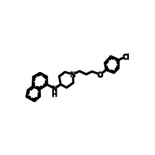 Clc1ccc(OCCCN2CCC(Nc3cccc4ccccc34)CC2)cc1